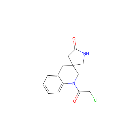 O=C1CC2(CN1)Cc1ccccc1N(C(=O)CCl)C2